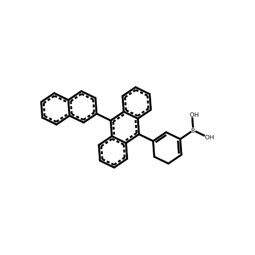 OB(O)C1=CCCC(c2c3ccccc3c(-c3ccc4ccccc4c3)c3ccccc23)=C1